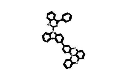 c1ccc(C2=NC(n3c4ccccc4c4cc(-c5ccc6c(c5)Sc5cccc7c5N6c5ccccc5O7)ccc43)Nc3ccccc32)cc1